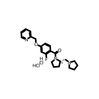 Cl.Cl.O=C(c1ccc(OCc2ccccn2)cc1F)N1CCC[C@H]1CN1CCCC1